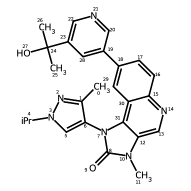 Cc1nn(C(C)C)cc1-n1c(=O)n(C)c2cnc3ccc(-c4cncc(C(C)(C)O)c4)cc3c21